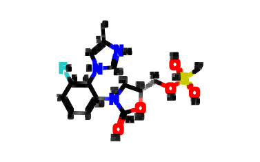 Cc1cn(-c2c(F)cccc2N2C[C@H](COS(C)(=O)=O)OC2=O)cn1